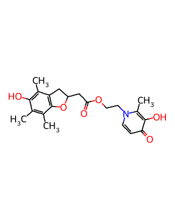 Cc1c(C)c2c(c(C)c1O)CC(CC(=O)OCCn1ccc(=O)c(O)c1C)O2